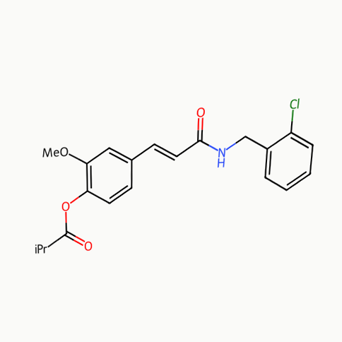 COc1cc(/C=C/C(=O)NCc2ccccc2Cl)ccc1OC(=O)C(C)C